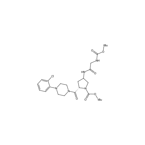 CC(C)(C)OC(=O)NCC(=O)NC1C[C@@H](C(=O)N2CCN(c3ccccc3Cl)CC2)N(C(=O)OC(C)(C)C)C1